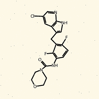 O=C(Nc1ccc(F)c(Cc2c[nH]c3ncc(Cl)cc23)c1F)N1CCOCC1